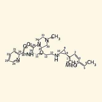 C=C(/C=C\C(=C/C)OC)[C@@H]1CC1NCCOC[C@H](NC(=O)c1ccccn1)C(=O)N1CCN(C)CC1